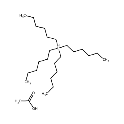 CC(=O)O.CCCCCC[PH](CCCCCC)(CCCCCC)CCCCCC